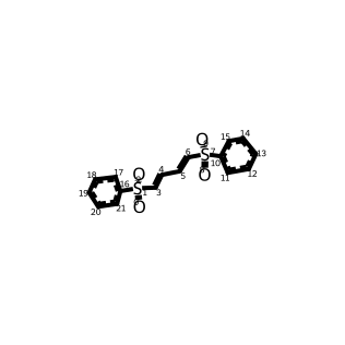 O=S(=O)(/C=C/C=C/S(=O)(=O)c1ccccc1)c1ccccc1